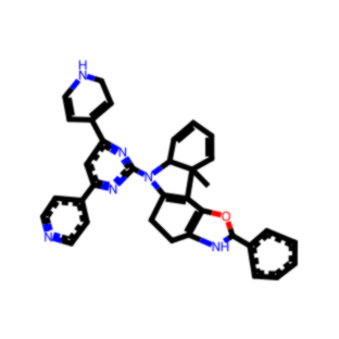 CC12C=CC=CC1N(c1nc(C3=CCNC=C3)cc(-c3ccncc3)n1)C1=C2C2=C(CC1)NC(c1ccccc1)O2